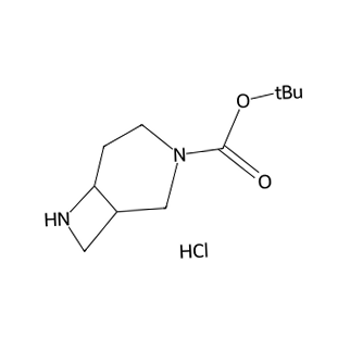 CC(C)(C)OC(=O)N1CCC2NCC2C1.Cl